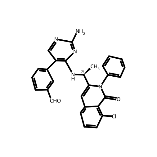 C[C@H](Nc1nc(N)ncc1-c1cccc(C=O)c1)c1cc2cccc(Cl)c2c(=O)n1-c1ccccc1